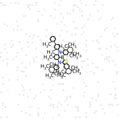 Cc1cc2c3c(c1)N(c1ccc4c(c1)C(C)(C)CCC4(C)C)c1c(sc4cc5c(cc14)C(C)(C)CCC5(C)C)B3c1cc3c(cc1N2c1ccc(-c2ccccc2C)cc1C)C(C)(C)CCC3(C)C